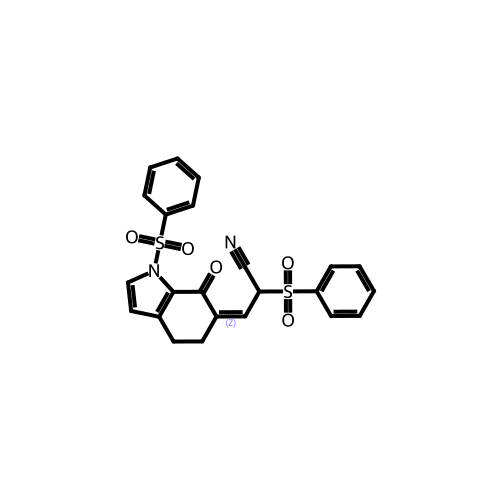 N#CC(/C=C1/CCc2ccn(S(=O)(=O)c3ccccc3)c2C1=O)S(=O)(=O)c1ccccc1